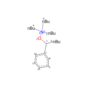 CCCCC(O[N+](CCCC)(CCCC)CCCC)c1ccccc1